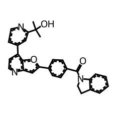 CC(C)(O)c1cc(-c2ccnc3cc(-c4ccc(C(=O)N5CCc6ccccc65)cc4)oc23)ccn1